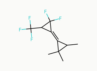 CC1C(=C2C(C(F)(F)F)C2(F)F)C1(C)C